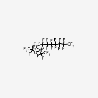 FC(F)(F)C(F)(F)O[Si](OC(F)(C(F)(F)F)C(F)(F)C(F)(F)C(F)(F)C(F)(F)C(F)(F)C(F)(F)F)(C(F)(F)F)C(F)(F)C(F)(F)F